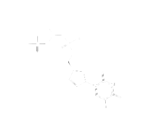 Cc1cn(C2C=C[C@@H](COP(=O)(O)OP(O)OP(=O)(O)O)O2)c(=O)[nH]c1=O